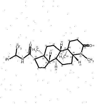 CC(C)C(NC(=O)[C@H]1CC[C@H]2[C@@H]3CC[C@H]4N(C)C(=O)CC[C@]4(C)[C@H]3CC[C@]12C)C(F)(F)F